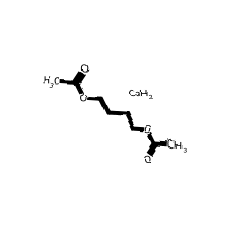 CC(=O)OCCCCOC(C)=O.[CaH2]